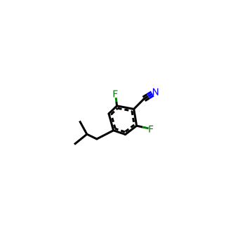 CC(C)Cc1cc(F)c(C#N)c(F)c1